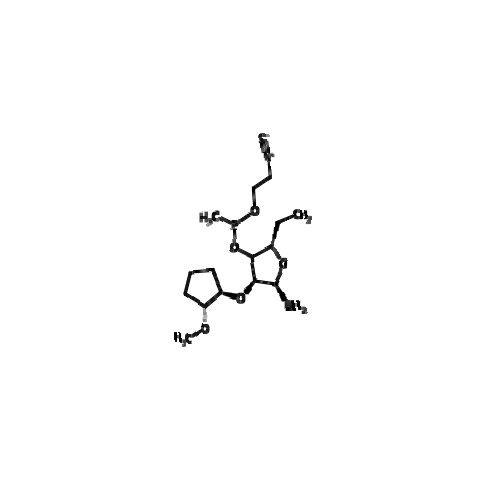 B[C@@H]1O[C@H](CC)C(OP(C)OCC[N+]#[C-])[C@@H]1O[C@@H]1CCC[C@H]1OC